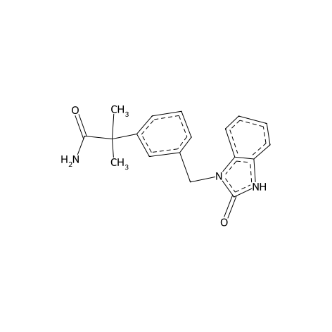 CC(C)(C(N)=O)c1cccc(Cn2c(=O)[nH]c3ccccc32)c1